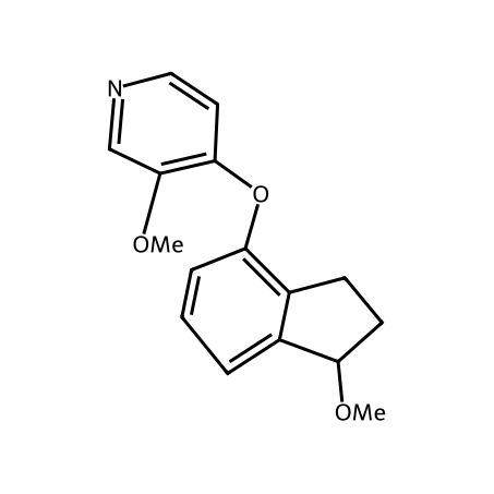 COc1cnccc1Oc1cccc2c1CCC2OC